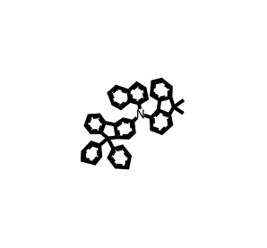 CC1(C)c2ccccc2-c2c(N(c3ccc4c(c3)-c3ccccc3C4(c3ccccc3)c3ccccc3)c3cccc4ccccc34)cccc21